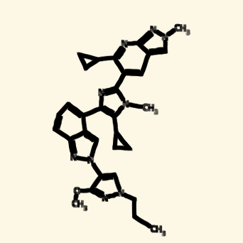 CCCn1cc(-n2cc3c(-c4nc(-c5cc6cn(C)nc6nc5C5CC5)n(C)c4C4CC4)cccc3n2)c(OC)n1